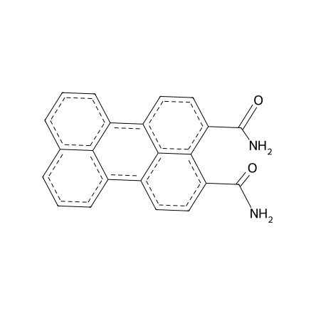 NC(=O)c1ccc2c3cccc4cccc(c5ccc(C(N)=O)c1c25)c43